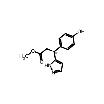 COC(=O)C[C@@H](c1ccc(O)cc1)c1ccn[nH]1